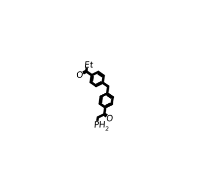 CCC(=O)c1ccc(Cc2ccc(C(=O)CP)cc2)cc1